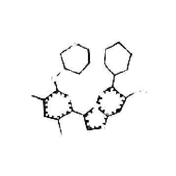 COc1cc2ncc(-c3nc(N[C@@H]4CCCNC4)c(F)cc3F)n2nc1C1CCCCC1